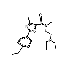 CCc1ccc(-c2nc(C)c(C(=O)N(C)CCN(CC)CC)s2)cc1